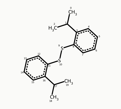 CC(C)c1ccccc1SSc1ccccc1C(C)C